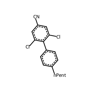 CCCCCc1ccc(-c2c(Cl)cc(C#N)cc2Cl)cc1